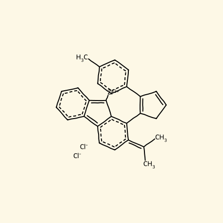 CC(C)=c1ccc2c(c1C1=C(c3ccc(C)cc3)C=CC1)[C]([Zr+2])=c1ccccc1=2.[Cl-].[Cl-]